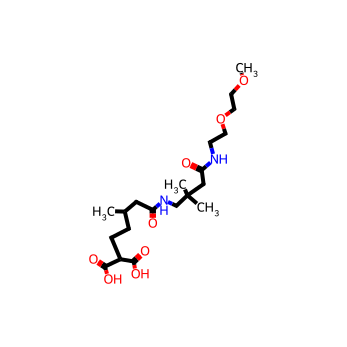 COCCOCCNC(=O)CC(C)(C)CNC(=O)CC(C)CCC(C(=O)O)C(=O)O